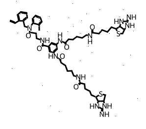 C=Cc1ccccc1CN(C(=O)CCNC(=O)c1cc(NC(=O)CCCCCNC(=O)CCCCC2SCC3NC(=N)NC32)cc(NC(=O)CCCCCNC(=O)CCCCC2SCC3NC(=N)NC32)c1)c1ccccc1C